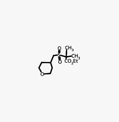 CCOC(=O)C(C)(C)S(=O)(=O)CC1CCOCC1